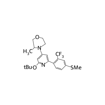 CSc1ccc(-c2cc(N3CCOCC3C)cc(OC(C)(C)C)n2)c(C(F)(F)F)c1